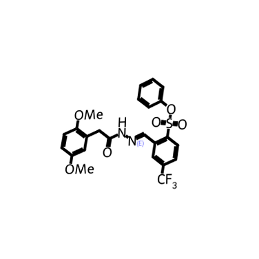 COc1ccc(OC)c(CC(=O)N/N=C/c2cc(C(F)(F)F)ccc2S(=O)(=O)Oc2ccccc2)c1